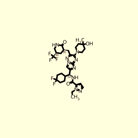 CCn1nccc1C(=O)N[C@H](c1cn2nc(C[C@H]3C[C@@H](C(F)(F)F)CNC3=O)c(N3CCC(C)(O)CC3)nc2n1)C1CCC(F)(F)CC1